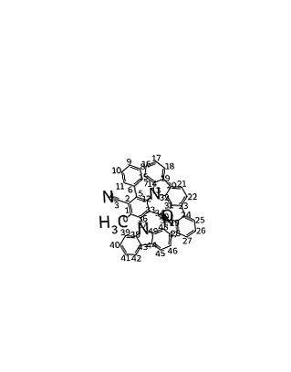 Cc1c(C#N)c(-c2ccccc2)c(-n2c3ccccc3c3ccc4c5ccccc5oc4c32)c(C#N)c1-n1c2ccccc2c2ccccc21